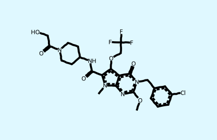 COc1nc2c(c(OCC(F)(F)F)c(C(=O)NC3CCN(C(=O)CO)CC3)n2C)c(=O)n1Cc1cccc(Cl)c1